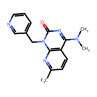 CN(C)c1nc(=O)n(Cc2cccnc2)c2nc(C(F)(F)F)ccc12